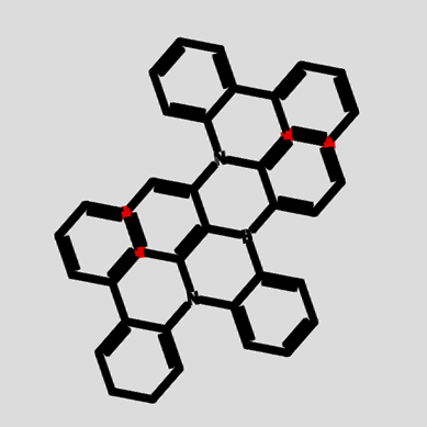 C1=C(c2ccccc2)C(N2c3ccccc3B3c4ccccc4N(c4ccccc4-c4ccccc4)c4cccc2c43)=CCC1